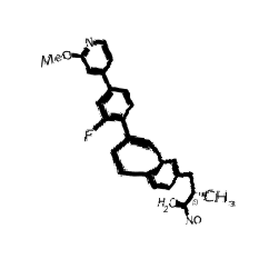 C=C(N=O)[C@@H](C)Cc1ccc2c(c1)C=C(c1ccc(-c3ccnc(OC)c3)cc1F)CC2